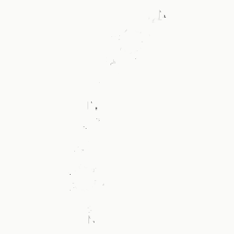 N#Cc1ccc(OCCCNCCCOc2ccc(C#N)cc2)cc1